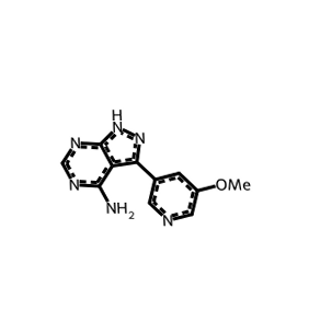 COc1cncc(-c2n[nH]c3ncnc(N)c23)c1